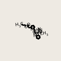 CCCOC(=O)Cc1cccc(COc2nc3ccccc3n2-c2nnnn2C)n1